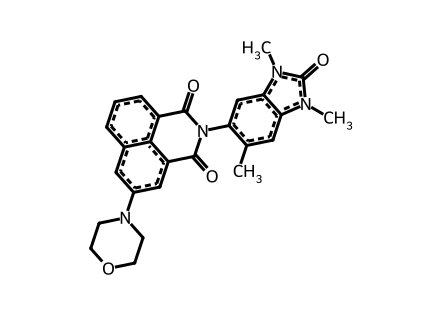 Cc1cc2c(cc1N1C(=O)c3cccc4cc(N5CCOCC5)cc(c34)C1=O)n(C)c(=O)n2C